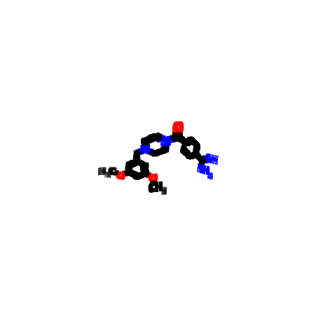 COc1cc(CN2CCN(C(=O)c3ccc(C(=N)N)cc3)CC2)cc(OC)c1